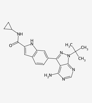 CC(C)(C)n1nc(-c2ccc3cc(C(=O)NC4CC4)[nH]c3c2)c2c(N)ncnc21